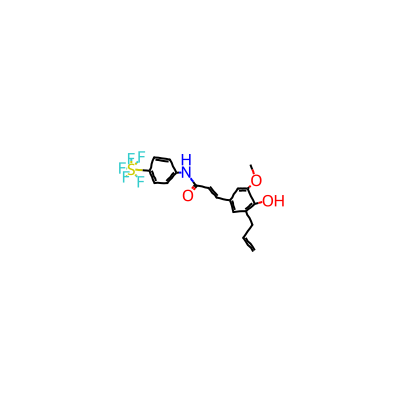 C=CCc1cc(/C=C/C(=O)Nc2ccc(S(F)(F)(F)(F)F)cc2)cc(OC)c1O